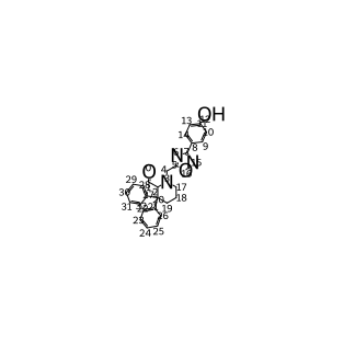 O=CC1N(Cc2nc(-c3ccc(O)cc3)no2)CCCC1(c1ccccc1)c1ccccc1